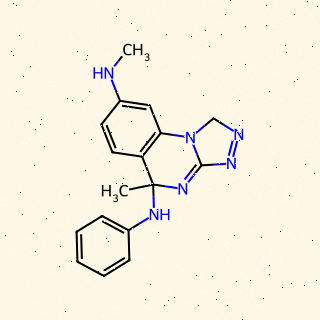 CNc1ccc2c(c1)N1CN=NC1=NC2(C)Nc1ccccc1